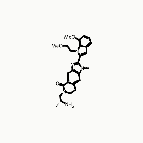 COCCn1c(-c2nc3cc4c(cc3n2C)CCN(C[C@@H](C)N)C4=O)cc2cccc(OC)c21